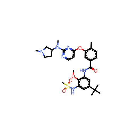 COc1c(NC(=O)c2ccc(C)c(Oc3ccnc(N(C)C4CCN(C)C4)n3)c2)cc(C(C)(C)C)cc1NS(C)(=O)=O